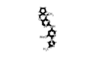 COc1cc(Nc2ncc3c(n2)N(C)C2(CCCC2)CO3)cnc1-n1cnc(C)c1